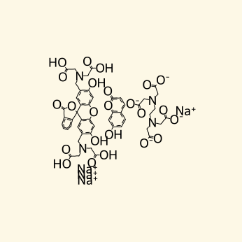 O=C(O)CN(CC(=O)O)Cc1cc2c(cc1O)Oc1cc(O)c(CN(CC(=O)O)CC(=O)O)cc1C21OC(=O)c2ccccc21.O=C([O-])CN(CCN(CC(=O)[O-])CC(=O)[O-])CC(=O)[O-].O=c1ccc2ccc(O)cc2o1.[Na+].[Na+].[Na+].[Na+]